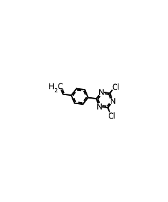 C=Cc1ccc(-c2nc(Cl)nc(Cl)n2)cc1